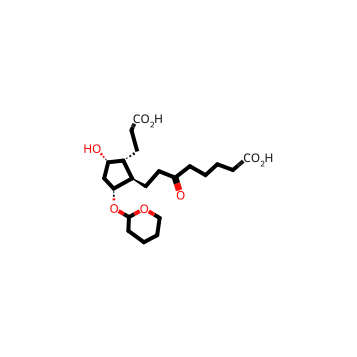 O=C(O)CCCCC(=O)CC[C@@H]1[C@@H](CCC(=O)O)[C@@H](O)C[C@H]1OC1CCCCO1